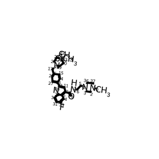 CN1CCN(CCNC(=O)c2cc(-c3ccc(CN4CC[Si](C)(C)CC4)cc3)nc3ccc(F)cc23)CC1